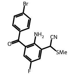 CSC(C#N)c1cc(F)cc(C(=O)c2ccc(Br)cc2)c1N